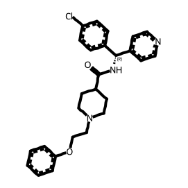 O=C(N[C@@H](c1ccncc1)c1ccc(Cl)cc1)C1CCN(CCOc2ccccc2)CC1